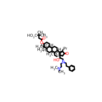 CC(C)C1=C2[C@H]3CC[C@@H]4[C@@]5(C)CCC(OC(=O)CC(C)(C)C(=O)O)C(C)(C)[C@@H]5CC[C@@]4(C)[C@]3(C)CC[C@@]2([C@@H](O)CN(CCc2ccccc2)CCN(C)C)CC1=O